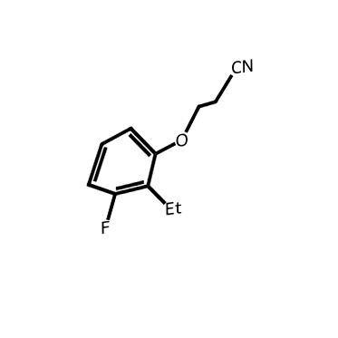 CCc1c(F)cccc1OCCC#N